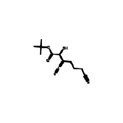 CC(C)(C)OC(=O)C(O)C(=C=O)CCCC#N